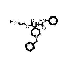 C=CCOC(=O)C1(NC(=O)Nc2ccccc2)CCN(Cc2ccccc2)CC1